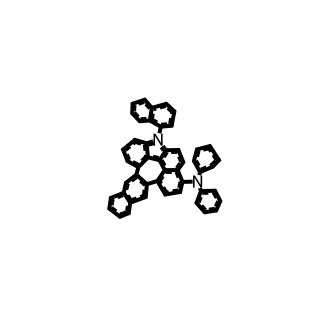 c1ccc(N(c2ccccc2)c2ccc3c4c2ccc2c4c4c(cccc4n2-c2cccc4ccccc24)-c2cc4ccccc4cc2-3)cc1